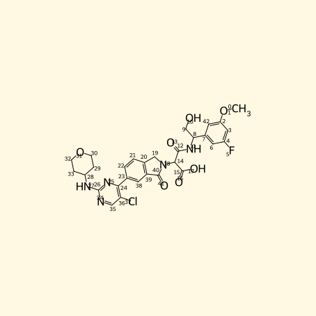 COc1cc(F)cc(C(CO)NC(=O)C(C(=O)O)N2Cc3ccc(-c4nc(NC5CCOCC5)ncc4Cl)cc3C2=O)c1